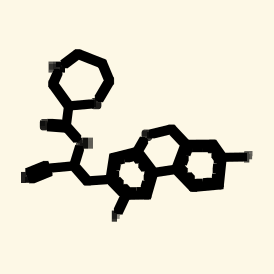 N#CC(Cc1cc2c(cc1F)-c1ccc(F)cc1CO2)NC(=O)C1CNCCCO1